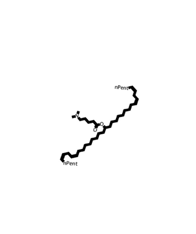 CCCCC/C=C\C/C=C\CCCCCCCCC(CCCCCCCC/C=C\C/C=C\CCCCC)OC(=O)CCCCN(C)C